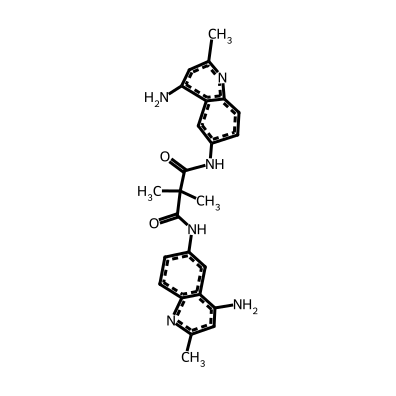 Cc1cc(N)c2cc(NC(=O)C(C)(C)C(=O)Nc3ccc4nc(C)cc(N)c4c3)ccc2n1